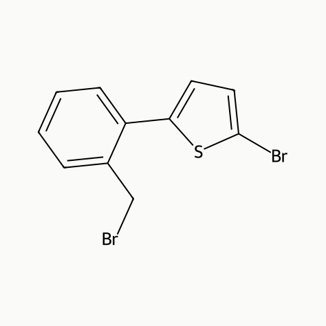 BrCc1ccccc1-c1ccc(Br)s1